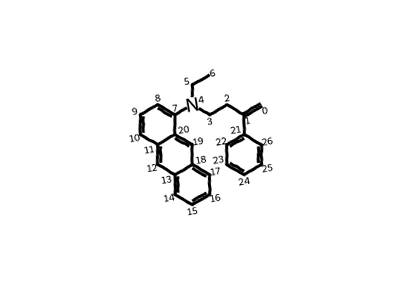 C=C(CCN(CC)c1cccc2cc3ccccc3cc12)c1ccccc1